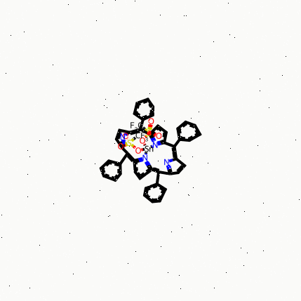 O=S(=O)([O][Sn]1([O]S(=O)(=O)C(F)(F)F)[n]2c3ccc2C(c2ccccc2)=C2C=CC(=N2)C(c2ccccc2)=c2ccc([n]21)=C(c1ccccc1)C1=NC(=C3c2ccccc2)C=C1)C(F)(F)F